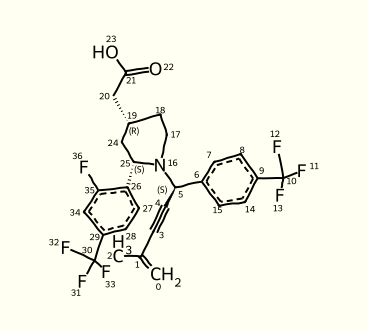 C=C(C)C#C[C@H](c1ccc(C(F)(F)F)cc1)N1CC[C@@H](CC(=O)O)C[C@H]1c1ccc(C(F)(F)F)cc1F